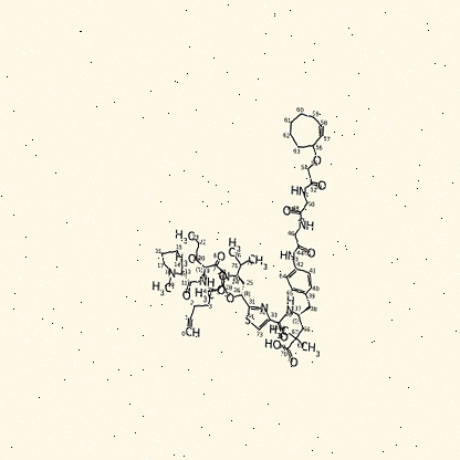 C#CCCCON(C(=O)[C@@H](NC(=O)[C@H]1CCCCN1C)[C@@H](C)CC)[C@H](C[C@@H](OC(C)=O)c1nc(C(=O)N[C@@H](Cc2ccc(NC(=O)CNC(=O)CNC(=O)COC3C#CCCCCC3)cc2)CC(C)(C)C(=O)O)cs1)C(C)C